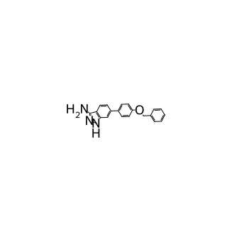 Nc1n[nH]c2cc(-c3ccc(OCc4ccccc4)cc3)ccc12